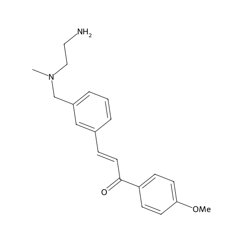 COc1ccc(C(=O)C=Cc2cccc(CN(C)CCN)c2)cc1